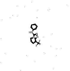 FC(F)(F)c1cccn2c(Nc3ccccc3)nnc12